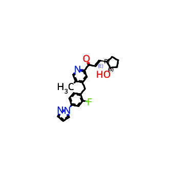 Cc1cnc(C(=O)/C=C/[C@H]2CCC[C@@H]2O)cc1Cc1ccc(-n2cccn2)cc1F